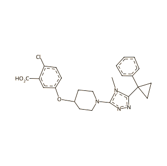 Cn1c(N2CCC(Oc3ccc(Cl)c(C(=O)O)c3)CC2)nnc1C1(c2ccccc2)CC1